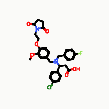 COc1cc(CN(Cc2ccc(F)cc2)C(CC(=O)O)c2ccc(Cl)cc2)ccc1OCCN1C(=O)CCC1=O